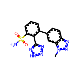 Cn1nnc2ccc(-c3cccc(S(N)(=O)=O)c3-c3nn[nH]n3)cc21